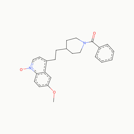 COc1ccc2c(c1)c(CCC1CCN(C(=O)c3ccccc3)CC1)cc[n+]2[O-]